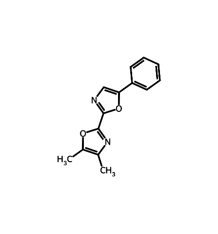 Cc1nc(-c2ncc(-c3ccccc3)o2)oc1C